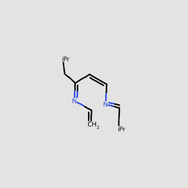 C=C\N=C(/C=C\N=C\C(C)C)CC(C)C